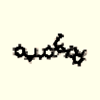 N#CCC1(N2CCC(CNC3CC3c3ccccc3)CC2)CN(C(=O)Nc2cccc(Cl)c2F)C1